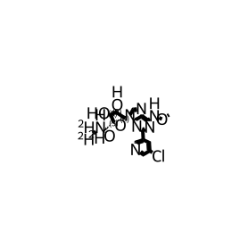 [2H]C([2H])([2H])NC(=O)[C@H]1O[C@@H](n2cnc3c(NOC)nc(-c4cncc(Cl)c4)nc32)[C@H](O)[C@@H]1O